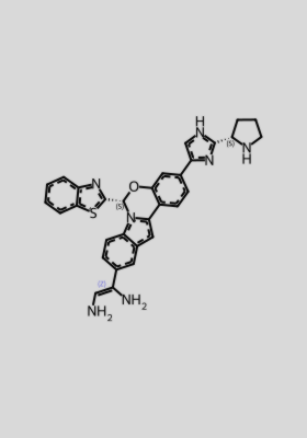 N/C=C(\N)c1ccc2c(c1)cc1n2[C@H](c2nc3ccccc3s2)Oc2cc(-c3c[nH]c([C@@H]4CCCN4)n3)ccc2-1